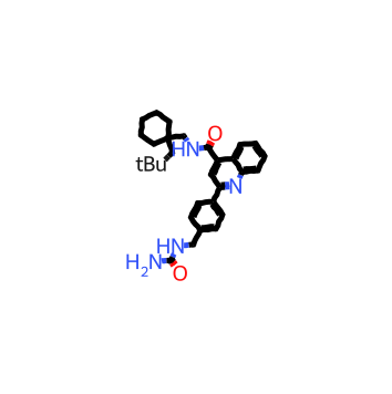 CC(C)(C)CC1(CNC(=O)c2cc(-c3ccc(CNC(N)=O)cc3)nc3ccccc23)CCCCC1